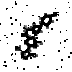 CC[C@H]1COC(=O)N1c1nc(C)nc(N[C@H](C)c2cn(-c3ccc(Cl)cc3)cn2)n1